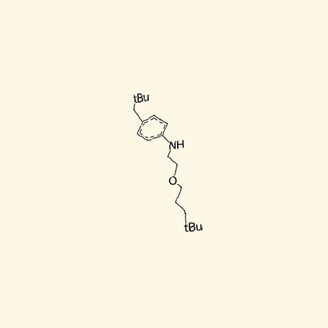 CC(C)(C)CCCOCCNc1ccc(CC(C)(C)C)cc1